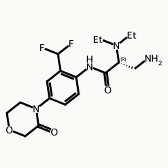 CCN(CC)[C@H](CN)C(=O)Nc1ccc(N2CCOCC2=O)cc1C(F)F